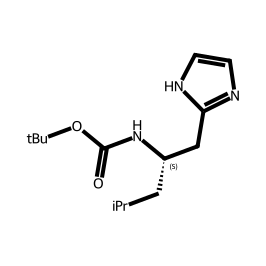 CC(C)C[C@@H](Cc1ncc[nH]1)NC(=O)OC(C)(C)C